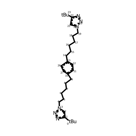 CC(C)(C)c1cn(CCCCCCc2ccc(CCCCCCn3cc(C(C)(C)C)nn3)cc2)nn1